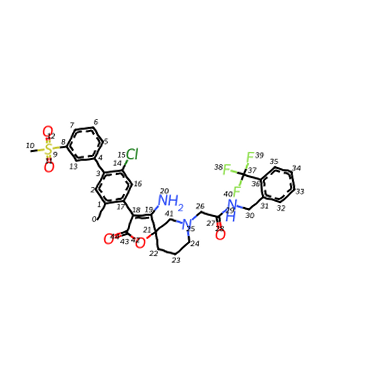 Cc1cc(-c2cccc(S(C)(=O)=O)c2)c(Cl)cc1C1=C(N)C2(CCCN(CC(=O)NCc3ccccc3C(F)(F)F)C2)OC1=O